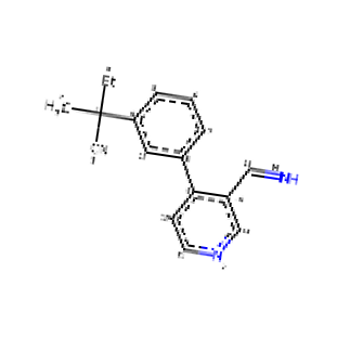 CCC(C)(C#N)c1cccc(-c2ccncc2C=N)c1